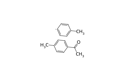 CC(=O)c1ccc(C)cc1.Cc1cc[c]cc1